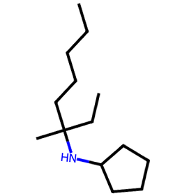 CCCCCC(C)(CC)NC1CCCC1